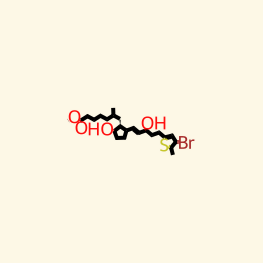 COC(=O)CCCCC(C)C[C@H]1C(O)CCC1/C=C/[C@@H](O)CCC1=CC(Br)C(C)S1